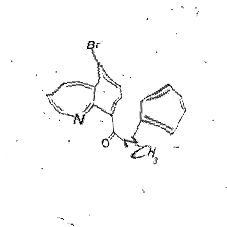 CN(C(=O)c1ccc(Br)c2cccnc12)c1ccccc1